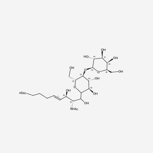 CCCCCCCCCCCCC/C=C/[C@@H](O)[C@@H](NC(C)=O)C(O)C1O[C@H](CO)[C@@H](O[C@@H]2O[C@H](CO)[C@H](O)[C@H](O)[C@H]2O)[C@H](O)[C@H]1O